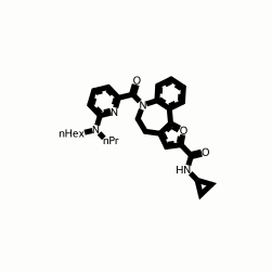 CCCCCCN(CCC)c1cccc(C(=O)N2CCc3cc(C(=O)NC4CC4)oc3-c3ccccc32)n1